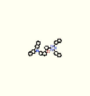 c1ccc2cc(-c3nc(-c4ccc5ccccc5c4)nc(-c4cccc5c4oc4ccc6ccc(-n7c8cc9ccccc9cc8c8cc9ccccc9cc87)cc6c45)n3)ccc2c1